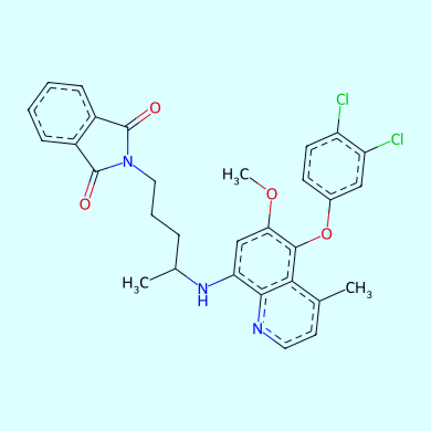 COc1cc(NC(C)CCCN2C(=O)c3ccccc3C2=O)c2nccc(C)c2c1Oc1ccc(Cl)c(Cl)c1